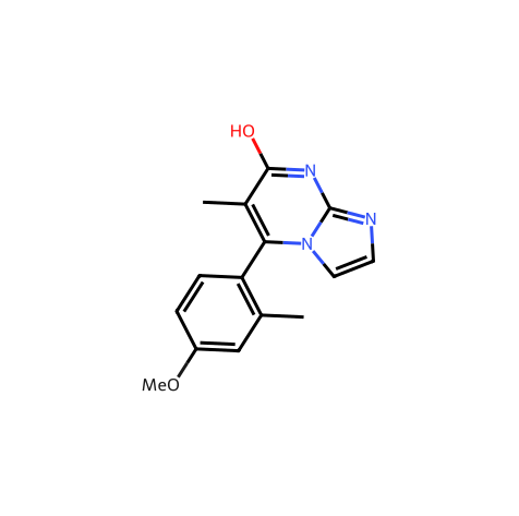 COc1ccc(-c2c(C)c(O)nc3nccn23)c(C)c1